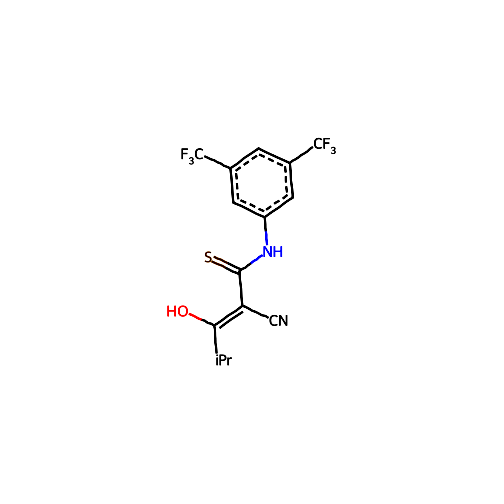 CC(C)/C(O)=C(\C#N)C(=S)Nc1cc(C(F)(F)F)cc(C(F)(F)F)c1